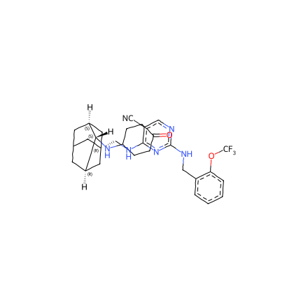 N#Cc1cnc(NCc2ccccc2OC(F)(F)F)nc1NC[C@@]12CC3C[C@H](C1)[C@@H](NC1CCC(=O)CC1)[C@@H](C3)C2